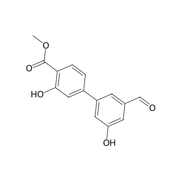 COC(=O)c1ccc(-c2cc(O)cc(C=O)c2)cc1O